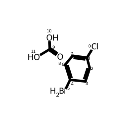 Clc1cc[c]([BiH2])cc1.O=C(O)O